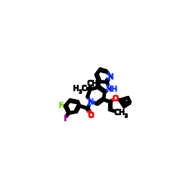 CC=C(OC12CC(C1)C2)C1=CN(C(=O)c2ccc(F)c(I)c2)CC(C)(C)c2c1[nH]c1ncccc21